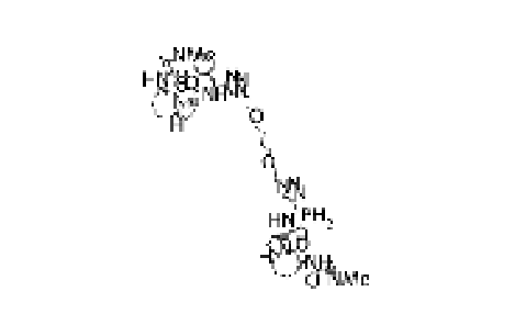 CN[C@@H](C)C(=O)N[C@H]1CCCC[C@H]2CC[C@@H](C(=O)NC(P)c3cn(CCOCCCCOCCn4cc([C@@H](NC(=O)[C@@H]5CC[C@@H]6CCCC[C@H](NC(=O)[C@H](C)NC)C(=O)N65)c5ccccc5)nn4)nn3)N2C1=O